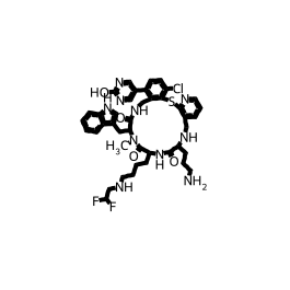 CN1C(=O)C(CCCCNCC(F)F)NC(=O)C(CCCN)NCc2cccnc2Sc2c(Cl)ccc(-c3cnc(O)nc3)c2CNC(=O)C1Cc1c[nH]c2ccccc12